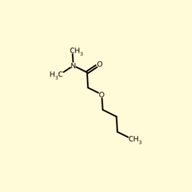 CCCCOCC(=O)N(C)C